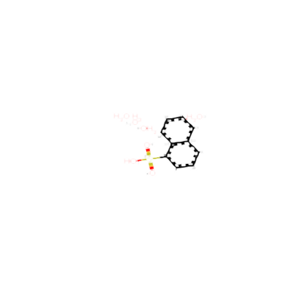 O.O.O.O.O=S(=O)(O)c1cccc2ccccc12